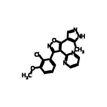 COc1cccc(-c2noc(-c3cn[nH]c3C)c2-c2ncccn2)c1Cl